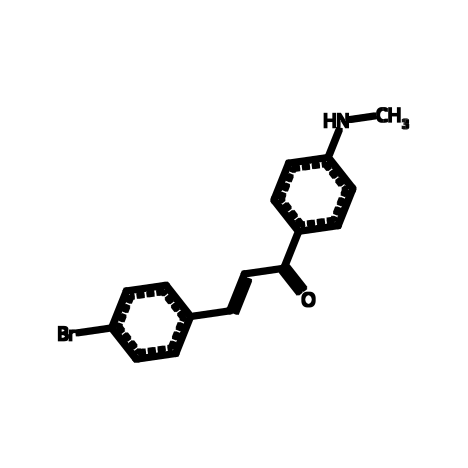 CNc1ccc(C(=O)/C=C/c2ccc(Br)cc2)cc1